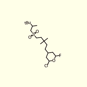 CC(CS(=O)(=O)CCC(C)(C)CCC1CC(F)OC(Cl)C1)C(C)(C)C